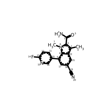 Cc1c(C(N)=O)n(C)c2c(-c3ccc(F)nc3)cc(C#N)cc12